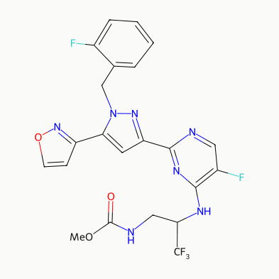 COC(=O)NCC(Nc1nc(-c2cc(-c3ccon3)n(Cc3ccccc3F)n2)ncc1F)C(F)(F)F